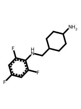 NC1CCC(CNc2c(F)cc(F)cc2F)CC1